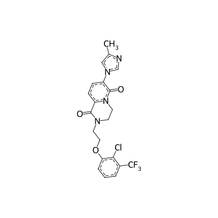 Cc1cn(-c2ccc3n(c2=O)CCN(CCOc2cccc(C(F)(F)F)c2Cl)C3=O)cn1